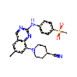 Cc1cc(N2CCC(C#N)CC2)c2nc(Nc3ccc(S(C)(=O)=O)cc3)ncc2c1